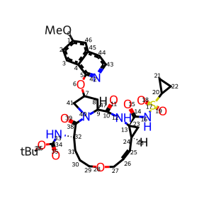 COc1ccc2c(OC3C[C@H]4C(=O)N[C@]5(C(=O)NS(=O)(=O)C6CC6)C[C@H]5/C=C\COCCC[C@H](NC(=O)OC(C)(C)C)C(=O)N4C3)nccc2c1